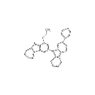 CCCc1cc(-n2c3ccccc3c3ccc(-c4ccccc4)cc32)cc2c1sc1ccccc12